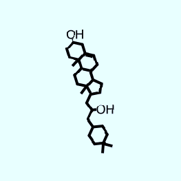 CC1(C)CCC(CC(O)CC2CCC3C4CC=C5C[C@@H](O)CCC5(C)C4CCC23C)CC1